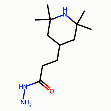 CC1(C)CC(CCC(=O)NN)CC(C)(C)N1